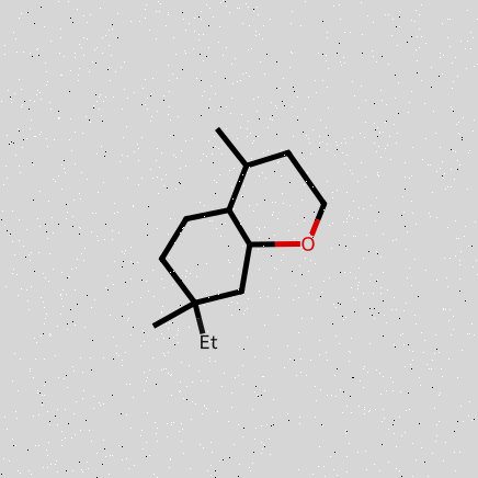 CCC1(C)CCC2C(C)CCOC2C1